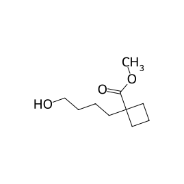 COC(=O)C1(CCCCO)CCC1